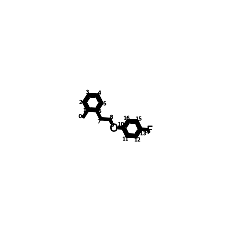 Cc1ccccc1CCOc1ccc(F)cc1